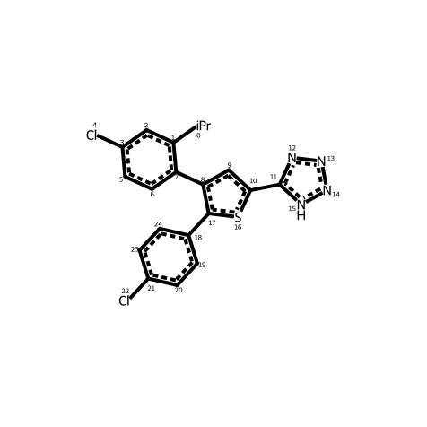 CC(C)c1cc(Cl)ccc1-c1cc(-c2nnn[nH]2)sc1-c1ccc(Cl)cc1